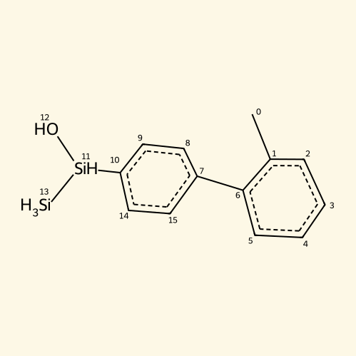 Cc1ccccc1-c1ccc([SiH](O)[SiH3])cc1